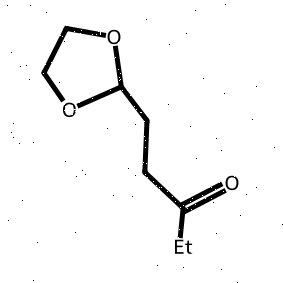 CCC(=O)CCC1OCCO1